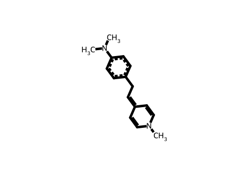 CN1C=CC(=CCc2ccc(N(C)C)cc2)C=C1